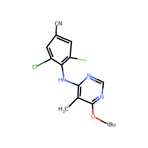 Cc1c(Nc2c(F)cc(C#N)cc2Cl)ncnc1OC(C)(C)C